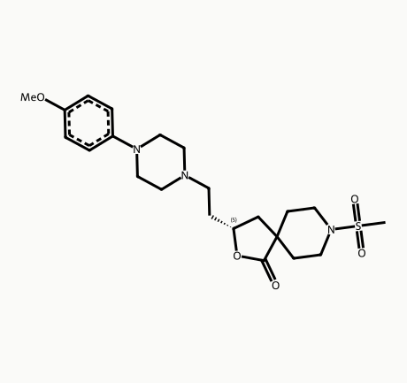 COc1ccc(N2CCN(CC[C@@H]3CC4(CCN(S(C)(=O)=O)CC4)C(=O)O3)CC2)cc1